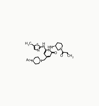 C=CC(=O)N1CCC[C@H](Nn2c(Nc3ncc(C)s3)cc(CN3CCN(C(C)=O)CC3)cc2=O)C1